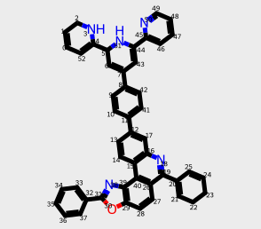 C1=CCNC(C2C=C(c3ccc(-c4ccc5c(c4)nc(C4=CCCC=C4)c4ccc6oc(-c7ccccc7)nc6c45)cc3)C=C(c3ccccn3)N2)=C1